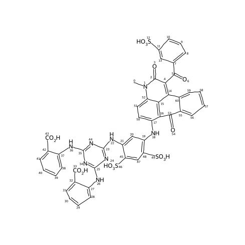 Cn1c(=O)c(C(=O)c2cccc(S(=O)(=O)O)c2)c2c3c(c(Nc4cc(Nc5nc(Nc6ccccc6C(=O)O)nc(Nc6ccccc6C(=O)O)n5)c(S(=O)(=O)O)cc4S(=O)(=O)O)ccc31)C(=O)c1ccccc1-2